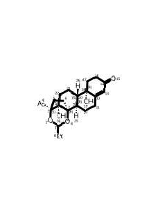 CCC1O[C@@]2(C(C)=O)CC[C@@]3(O1)[C@@H]1CCC4=CC(=O)CC[C@]4(C)[C@H]1CC[C@]23C